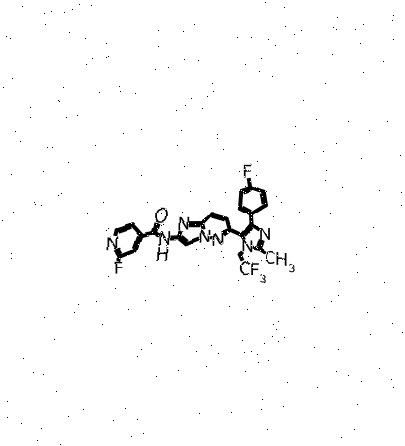 Cc1nc(-c2ccc(F)cc2)c(-c2ccc3nc(NC(=O)c4ccnc(F)c4)cn3n2)n1CC(F)(F)F